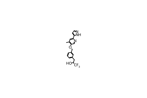 Cc1cc(-c2ccn[nH]2)ncc1OCc1cccc(CC(O)C(F)(F)F)c1